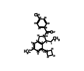 CCC1c2c(nc(C)nc2N2CCC2)CN1C(=O)c1ccc(Cl)cc1